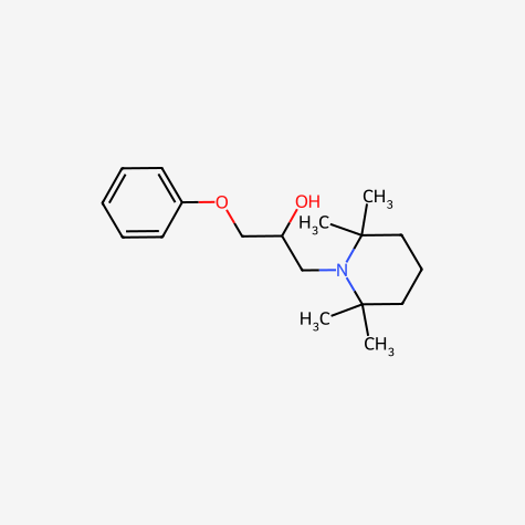 CC1(C)CCCC(C)(C)N1CC(O)COc1ccccc1